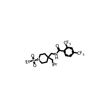 CCS(=O)(=O)N1CCC(CNC(=O)c2ccc(C(F)(F)F)cc2C(F)(F)F)(CC(C)C)CC1